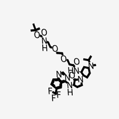 CC(C)N(C)[C@@H]1CC[C@H](N2CC[C@H](Nc3ncnc4ccc(C(F)(F)F)cc34)C2=O)[C@H](NC(=O)CCOCCOCCNC(=O)OC(C)(C)C)C1